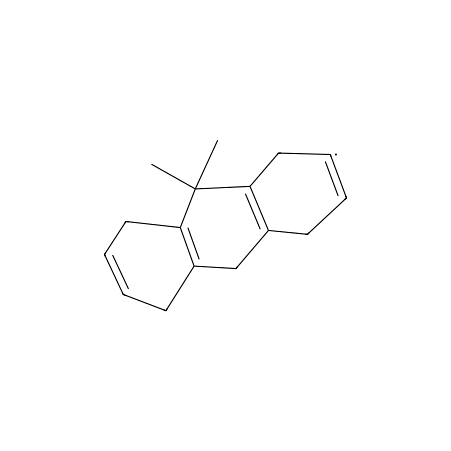 CC1(C)C2=C(CC=[C]C2)CC2=C1CC=CC2